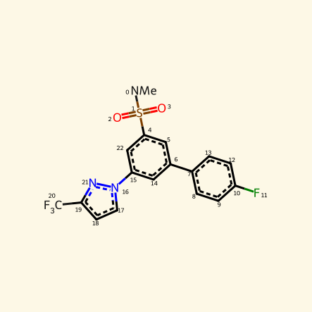 CNS(=O)(=O)c1cc(-c2ccc(F)cc2)cc(-n2ccc(C(F)(F)F)n2)c1